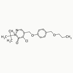 CCCOCc1ccc(OCc2cnn(C(C)(C)C)c(=O)c2Cl)cc1